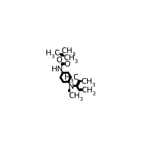 C=CC(=C(C)C)N(CC)C1CCC(NC(=O)OC(C)(C)C)CC1